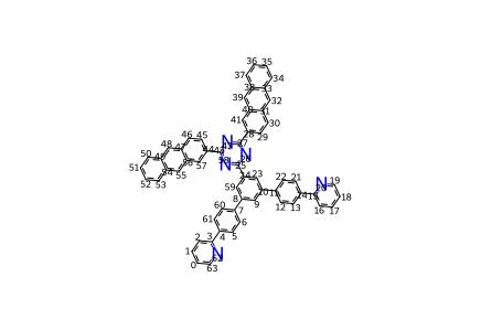 c1ccc(-c2ccc(-c3cc(-c4ccc(-c5ccccn5)cc4)cc(-c4nc(-c5ccc6cc7ccccc7cc6c5)nc(-c5ccc6cc7ccccc7cc6c5)n4)c3)cc2)nc1